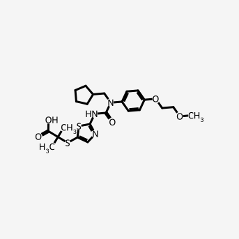 COCCOc1ccc(N(CC2CCCC2)C(=O)Nc2ncc(SC(C)(C)C(=O)O)s2)cc1